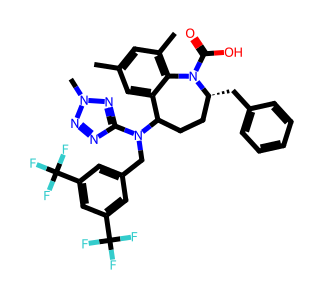 Cc1cc(C)c2c(c1)C(N(Cc1cc(C(F)(F)F)cc(C(F)(F)F)c1)c1nnn(C)n1)CC[C@@H](Cc1ccccc1)N2C(=O)O